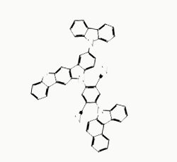 N#Cc1cc(-n2c3ccccc3c3c4ccccc4ccc32)c(C#N)cc1-n1c2ccc(-n3c4ccccc4c4ccccc43)cc2c2cc3sc4ccccc4c3cc21